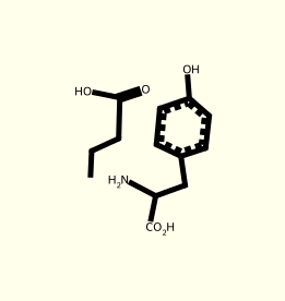 CCCC(=O)O.NC(Cc1ccc(O)cc1)C(=O)O